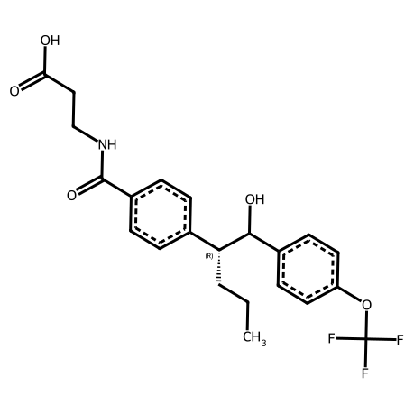 CCC[C@H](c1ccc(C(=O)NCCC(=O)O)cc1)C(O)c1ccc(OC(F)(F)F)cc1